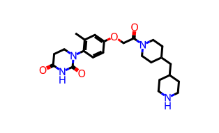 Cc1cc(OCC(=O)N2CCC(CC3CCNCC3)CC2)ccc1N1CCC(=O)NC1=O